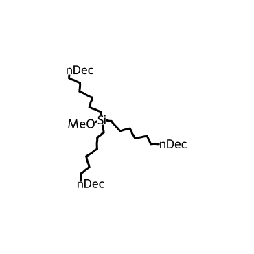 CCCCCCCCCCCCCCCC[Si](CCCCCCCCCCCCCCCC)(CCCCCCCCCCCCCCCC)OC